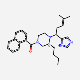 CCCC[C@H]1CN(C(=O)c2cccc3ccccc23)CCN1C(CC=C(C)C)c1cnc[nH]1